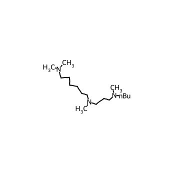 CCCCN(C)CCCN(C)CCCCCCN(C)C